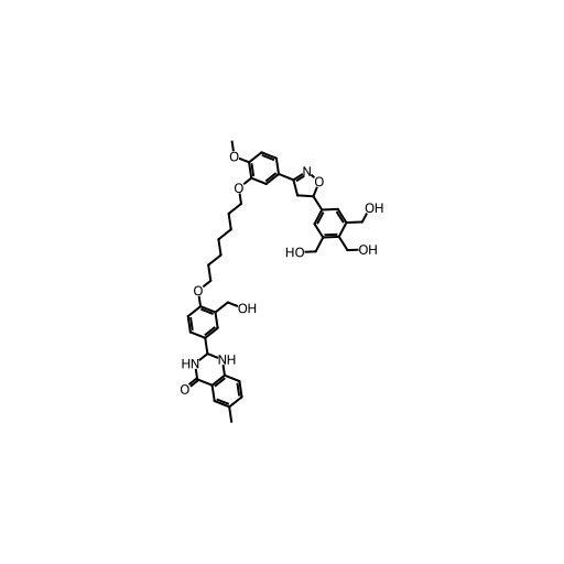 COc1ccc(C2=NOC(c3cc(CO)c(CO)c(CO)c3)C2)cc1OCCCCCCCOc1ccc(C2NC(=O)c3cc(C)ccc3N2)cc1CO